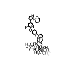 CC(C)(C)OC(=O)N[C@H](CO[Si](C)(C)C(C)(C)C)Cn1ccc(-c2ccc(Oc3ncc(-c4ccnn4C4CCCCO4)cc3F)cn2)n1